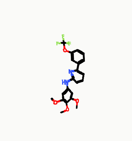 COc1cc(Nc2cccc(-c3cccc(OC(F)(F)F)c3)n2)cc(OC)c1OC